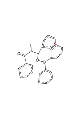 CC(C(=O)c1ccccc1)C(OB(c1ccccc1)c1ccccc1)c1ccccc1